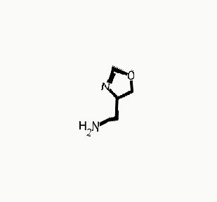 NCC1COC=N1